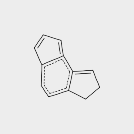 C1=Cc2ccc3c(c2=C1)=CCC3